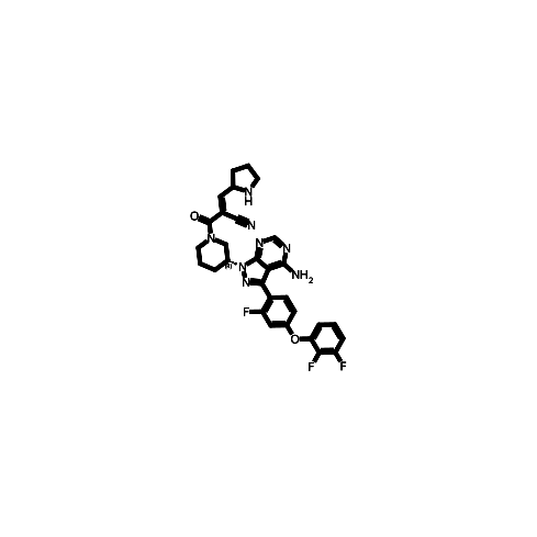 N#CC(=CC1CCCN1)C(=O)N1CCC[C@@H](n2nc(-c3ccc(Oc4cccc(F)c4F)cc3F)c3c(N)ncnc32)C1